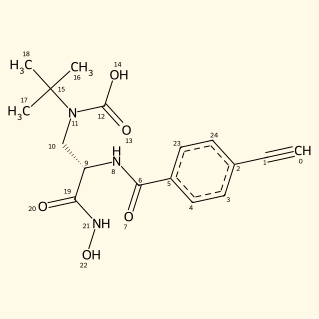 C#Cc1ccc(C(=O)N[C@@H](CN(C(=O)O)C(C)(C)C)C(=O)NO)cc1